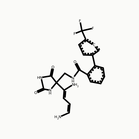 N/C=C\C=C(/N)C1(CNC(=O)c2ccccc2-c2ccc(C(F)(F)F)cc2)NC(=O)NC1=O